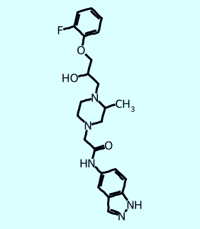 CC1CN(CC(=O)Nc2ccc3[nH]ncc3c2)CCN1CC(O)COc1ccccc1F